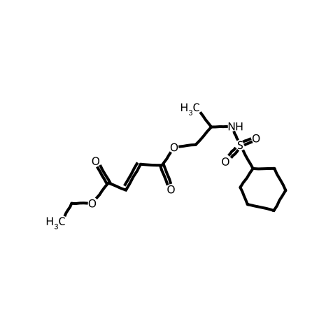 CCOC(=O)/C=C/C(=O)OCC(C)NS(=O)(=O)C1CCCCC1